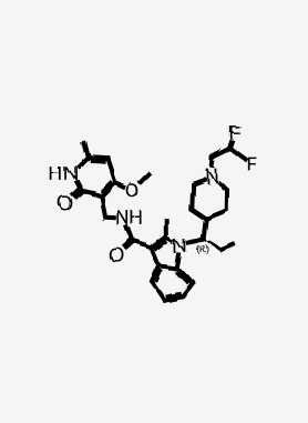 CC[C@H](C1CCN(CC(F)F)CC1)n1c(C)c(C(=O)NCc2c(OC)cc(C)[nH]c2=O)c2ccccc21